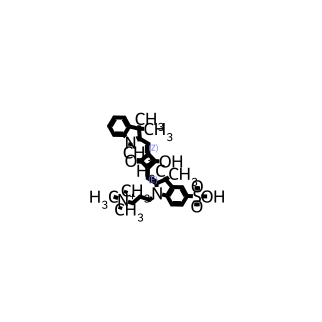 C[N+]1=C(/C=C2\C(=O)C(/C=C3/N(CCC[N+](C)(C)C)c4ccc(S(=O)(=O)O)cc4C3(C)C)=C2O)C(C)(C)c2ccccc21